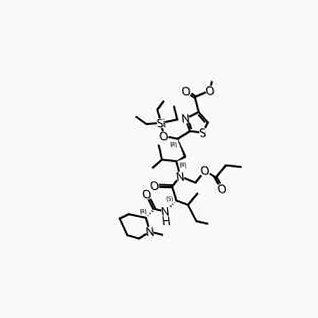 CCC(=O)OCN(C(=O)[C@@H](NC(=O)[C@H]1CCCCN1C)C(C)CC)[C@H](C[C@@H](O[Si](CC)(CC)CC)c1nc(C(=O)OC)cs1)C(C)C